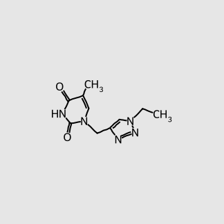 CCn1cc(Cn2cc(C)c(=O)[nH]c2=O)nn1